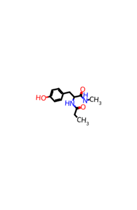 CCC(=O)NC(Cc1ccc(O)cc1)C(=O)NC